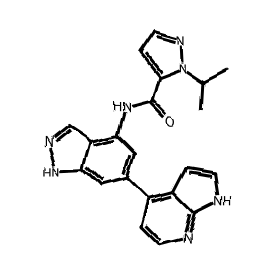 CC(C)n1nccc1C(=O)Nc1cc(-c2ccnc3[nH]ccc23)cc2[nH]ncc12